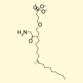 CCCCCCCC/C=C\CCCCCC(CCOCCC[Si](OC)(OC)OC)C(=O)CN